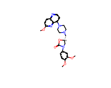 COc1ccc2nccc(N3CCN(C[C@@H]4CN(c5ccc(OC)c(OC)c5)C(=O)O4)CC3)c2n1